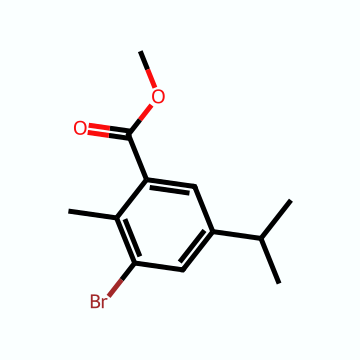 COC(=O)c1cc(C(C)C)cc(Br)c1C